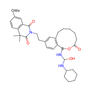 COc1ccc2c(c1)C(=O)N(CCc1ccc3c(c1)CCCCCC(=O)OB3NC(O)NC1CCCCC1)C(=O)C2(C)C